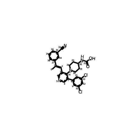 C/C(=C\c1cncc(-c2cc(Cl)cc(Cl)c2)c1N1CCC(NC(=O)O)CC1)c1cccc(C#N)c1